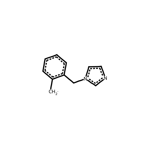 [CH2]c1ccccc1Cn1ccnc1